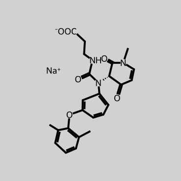 Cc1cccc(C)c1Oc1cccc(N(C(=O)NCCC(=O)[O-])[C@H]2C(=O)C=CN(C)C2=O)c1.[Na+]